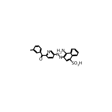 Cc1cccc(C(=O)c2ccc(N=Nc3cc(S(=O)(=O)O)c4ccccc4c3N)cn2)c1